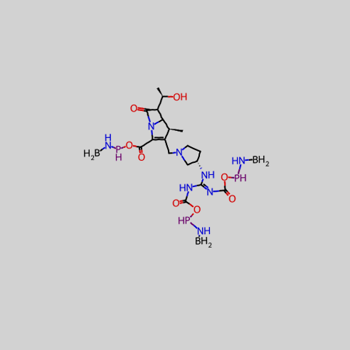 BNPOC(=O)/N=C(/NC(=O)OPNB)N[C@H]1CCN(CC2=C(C(=O)OPNB)N3C(=O)C([C@@H](C)O)C3[C@H]2C)C1